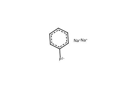 [Na+].[Na+].[P-2]c1ccccc1